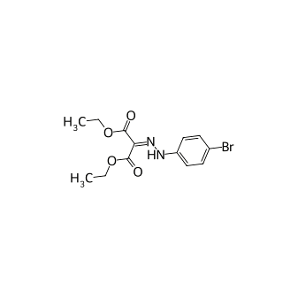 CCOC(=O)C(=NNc1ccc(Br)cc1)C(=O)OCC